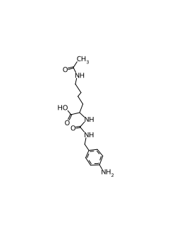 CC(=O)NCCCCC(NC(=O)NCc1ccc(N)cc1)C(=O)O